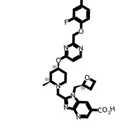 C[C@H]1C[C@@H](Oc2ccnc(COc3ccc(C#N)cc3F)n2)CCN1Cc1nc2ncc(C(=O)O)cc2n1C[C@@H]1CCO1